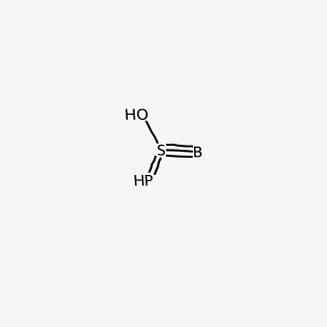 B#S(O)=P